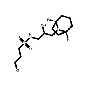 O=S(=O)(CCCCl)NCC(O)CN1[C@@H]2C[CH]C[C@H]1CC2